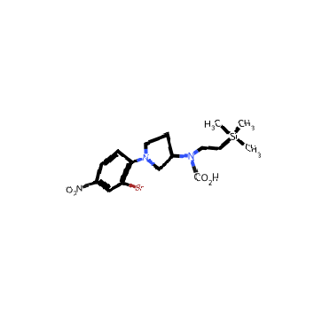 C[Si](C)(C)CCN(C(=O)O)C1CCN(c2ccc([N+](=O)[O-])cc2Br)C1